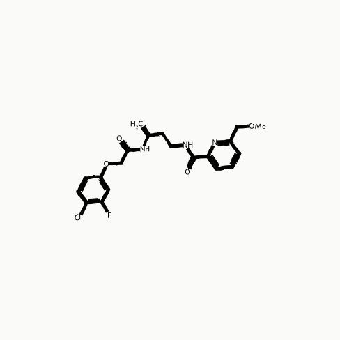 C=C(CCNC(=O)c1cccc(COC)n1)NC(=O)COc1ccc(Cl)c(F)c1